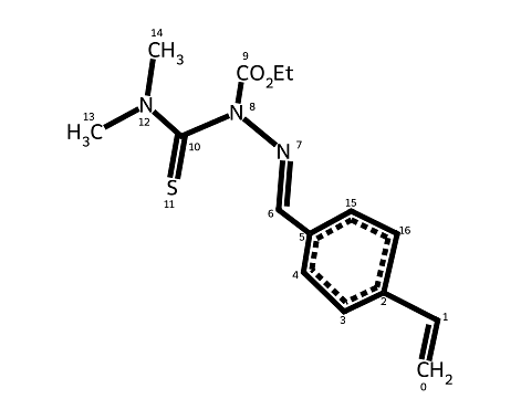 C=Cc1ccc(C=NN(C(=O)OCC)C(=S)N(C)C)cc1